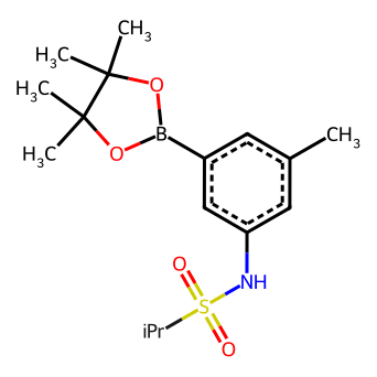 Cc1cc(NS(=O)(=O)C(C)C)cc(B2OC(C)(C)C(C)(C)O2)c1